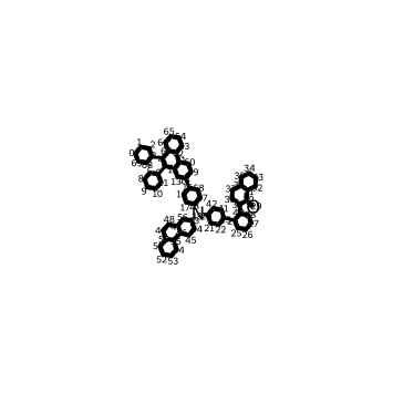 c1ccc(-c2c(-c3ccccc3)c3cc(-c4ccc(N(c5ccc(-c6cccc7oc8c9ccccc9ccc8c67)cc5)c5ccc6c(ccc7ccccc76)c5)cc4)ccc3c3ccccc23)cc1